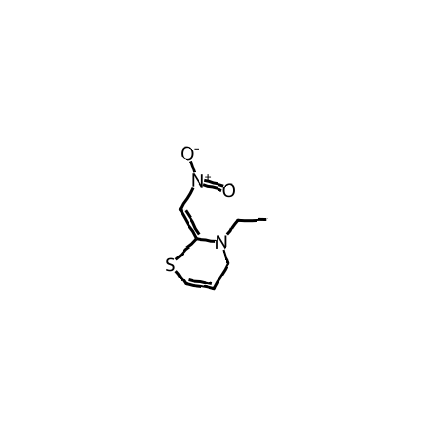 CCN1CC=CSC1=C[N+](=O)[O-]